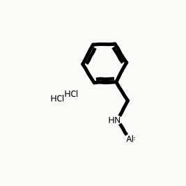 Cl.Cl.[Al][NH]Cc1ccccc1